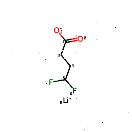 O=C([O-])CCC(F)F.[Li+]